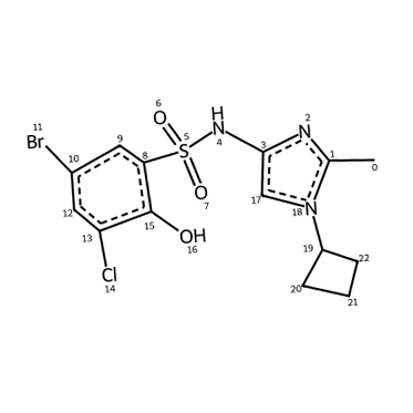 Cc1nc(NS(=O)(=O)c2cc(Br)cc(Cl)c2O)cn1C1CCC1